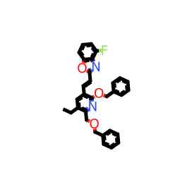 CCc1cc(/C=C/c2nc3c(F)cccc3o2)c(OCc2ccccc2)nc1COCc1ccccc1